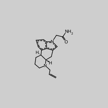 C=CCN1CCC[C@H]2c3cccc4c3c(cn4CC(N)=O)C[C@@H]21